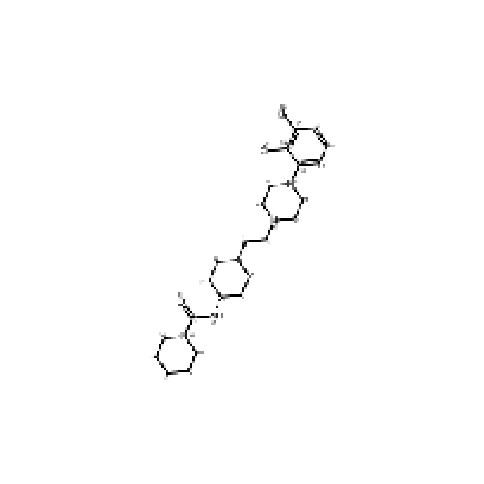 O=C(N[C@H]1CC[C@H](CCN2CCN(c3cccc(Cl)c3Cl)CC2)CC1)N1CCCCC1